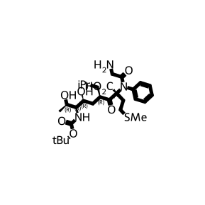 CSCC[C@](C(=O)O)(C(=O)[C@H](CC(C)C)C[C@@H](O)[C@@H](NC(=O)OC(C)(C)C)[C@@H](C)O)N(C(=O)CN)c1ccccc1